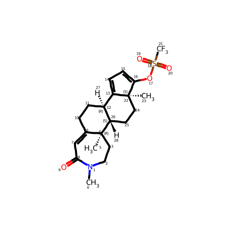 CN1CC[C@@]2(C)C(=CC1=O)CC[C@H]1C3=CC=C(OS(=O)(=O)C(F)(F)F)[C@@]3(C)CC[C@@H]12